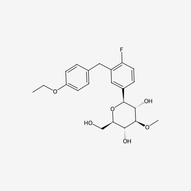 CCOc1ccc(Cc2cc([C@@H]3O[C@H](CO)[C@@H](O)[C@H](OC)[C@H]3O)ccc2F)cc1